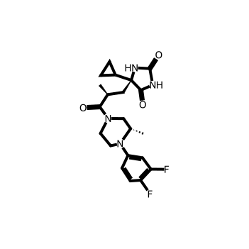 C[C@@H](C[C@@]1(C2CC2)NC(=O)NC1=O)C(=O)N1CCN(c2ccc(F)c(F)c2)[C@@H](C)C1